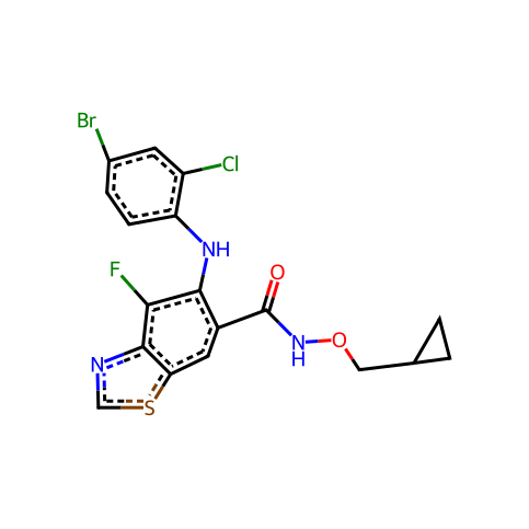 O=C(NOCC1CC1)c1cc2scnc2c(F)c1Nc1ccc(Br)cc1Cl